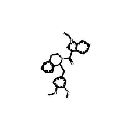 CCn1cc(C(=O)N2CCc3ccccc3C2Cc2ccc(OC)c(OC)c2)c2ccccc21